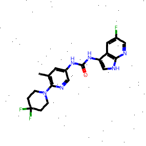 Cc1cc(NC(=O)Nc2c[nH]c3ncc(F)cc23)cnc1N1CCC(F)(F)CC1